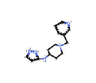 c1cncc(CN2CCC(Nc3cc[nH]n3)CC2)c1